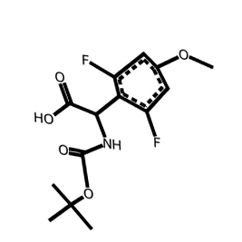 COc1cc(F)c(C(NC(=O)OC(C)(C)C)C(=O)O)c(F)c1